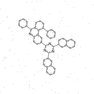 c1ccc(-c2nc3ccc(-c4nc(-c5ccc6ccccc6c5)nc(-c5ccc6ccccc6c5)n4)cc3c3c(-c4ccccc4)cccc23)cc1